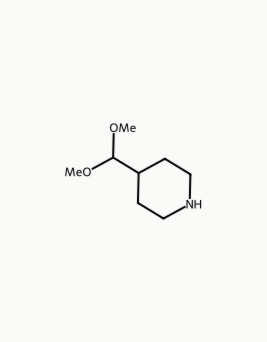 COC(OC)C1CCNCC1